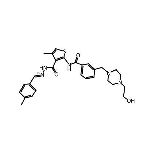 Cc1ccc(/C=N/NC(=O)c2c(C)csc2NC(=O)c2cccc(CN3CCN(CCO)CC3)c2)cc1